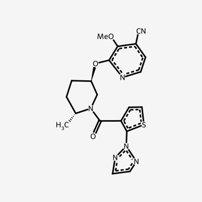 COc1c(C#N)ccnc1O[C@@H]1CC[C@@H](C)N(C(=O)c2ccsc2-n2nccn2)C1